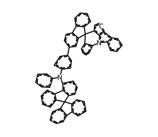 c1ccc(N(c2ccc(-c3ccc4c(c3)C3(c5ccccc5-4)c4ccccc4-n4c5ccccc5c5cccc3c54)cc2)c2cccc3c2-c2ccccc2C32c3ccccc3-c3ccccc32)cc1